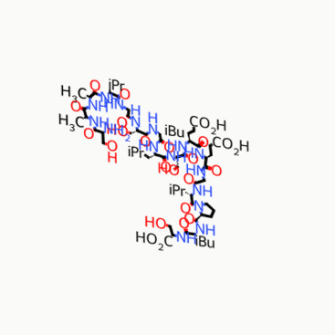 CC[C@H](C)[C@H](NC(=O)[C@H](CO)NC(=O)CNC(=O)[C@@H](NC(=O)[C@H](C)NC(=O)[C@H](C)NC(=O)[C@@H](N)CO)C(C)C)C(=O)N[C@@H](CC(C)C)C(=O)N[C@@H](CO)C(=O)N[C@@H](CCC(=O)O)C(=O)N[C@@H](CCC(=O)O)C(=O)NCC(=O)N[C@H](C(=O)N1CCC[C@H]1C(=O)N[C@H](C(=O)N[C@@H](CO)C(=O)O)[C@@H](C)CC)C(C)C